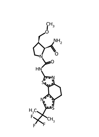 COC[C@@H]1CCN(C(=O)Nc2nc3c(s2)-c2nc(C(C)(C)C(F)(F)F)sc2CC3)[C@@H]1C(N)=O